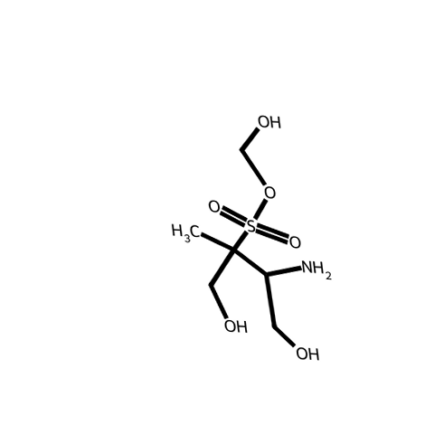 CC(CO)(C(N)CO)S(=O)(=O)OCO